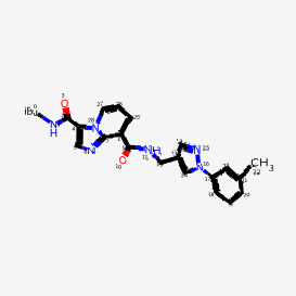 CCC(C)NC(=O)c1cnc2c(C(=O)NCc3cnn(-c4cccc(C)c4)c3)cccn12